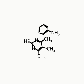 Cc1nc(S)nc(C)c1C.Nc1ccccc1